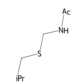 CC(=O)NCSCC(C)C